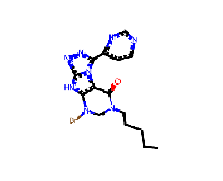 CCCCCN1CN(Br)c2[nH]c3nnc(-c4ccncn4)n3c2C1=O